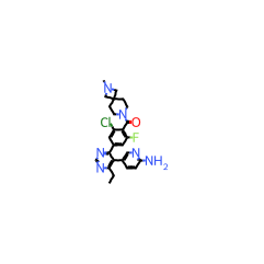 CCc1ncnc(-c2cc(F)c(C(=O)N3CCC4(CC3)CN(C)C4)c(Cl)c2)c1-c1ccc(N)nc1